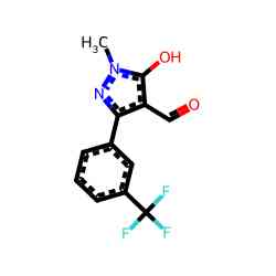 Cn1nc(-c2cccc(C(F)(F)F)c2)c(C=O)c1O